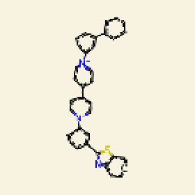 c1ccc(-c2cccc(-[n+]3ccc(-c4cc[n+](-c5cccc(-c6nc7ccccc7s6)c5)cc4)cc3)c2)cc1